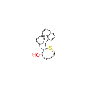 Oc1cccccsc(Cc2cccc3ccccc23)c1Cc1ccccc1